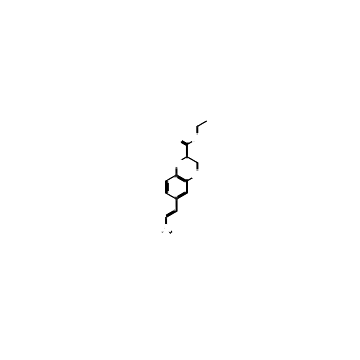 CCOC(=O)C1COc2cc(/C=C/[N+](=O)[O-])ccc2O1